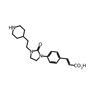 O=C(O)C=Cc1ccc(N2CCN(CCC3CCNCC3)C2=O)cc1